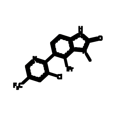 CC(C)c1c(-c2ncc(C(F)(F)F)cc2Cl)ccc2[nH]c(=O)n(C)c12